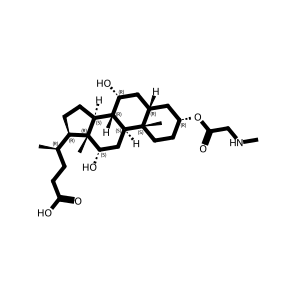 CNCC(=O)O[C@@H]1CC[C@@]2(C)[C@@H](C1)C[C@@H](O)[C@@H]1[C@@H]2C[C@H](O)[C@]2(C)[C@@H]([C@H](C)CCC(=O)O)CC[C@@H]12